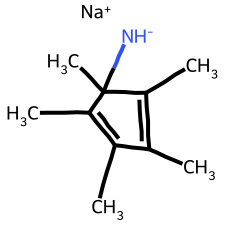 CC1=C(C)C(C)([NH-])C(C)=C1C.[Na+]